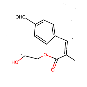 CC(=Cc1ccc(C=O)cc1)C(=O)OCCO